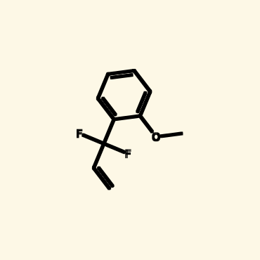 C=CC(F)(F)c1ccccc1OC